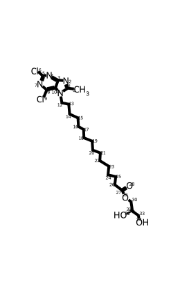 Cc1nc2nc(Cl)nc(Cl)c2n1CCCCCCCCCCCCCCCC(=O)OC[C@H](O)CO